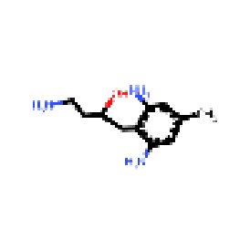 Cc1cc(N)c(CC(O)CCN)c(N)c1